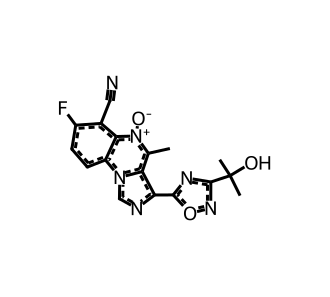 Cc1c2c(-c3nc(C(C)(C)O)no3)ncn2c2ccc(F)c(C#N)c2[n+]1[O-]